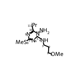 COCCCNC1N=C(SC)N=C(C(C)C)N1N